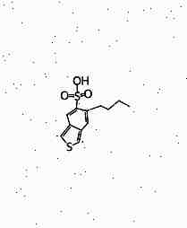 CCCCc1cc2[c]s[c]c2cc1S(=O)(=O)O